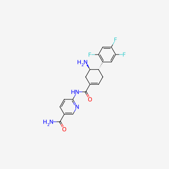 NC(=O)c1ccc(NC(=O)C2=CC[C@@H](c3cc(F)c(F)cc3F)[C@H](N)C2)nc1